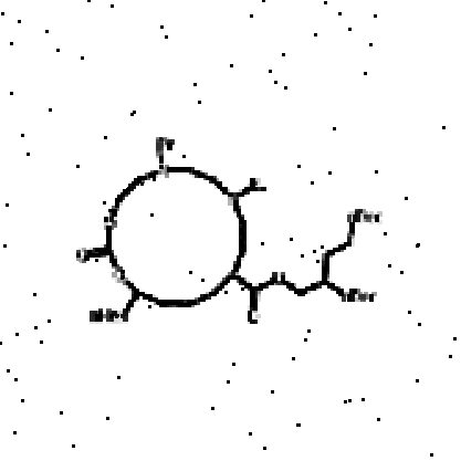 CCCCCCCCCCCCC(CCCCCCCCCC)COC(=O)C1CCCC(CCCCCC)OC(=O)OCCN(C(C)C)CCN(CC)CC1